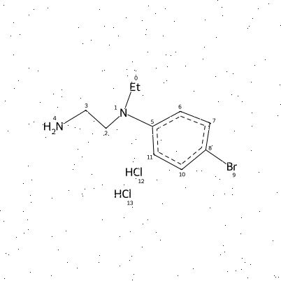 CCN(CCN)c1ccc(Br)cc1.Cl.Cl